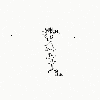 CC(C)(C)OC(=O)N1CC2(C1)CN(c1ccc(B3OC(C)(C)C(C)(C)O3)cc1)C2